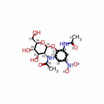 CC(=O)Nc1cc([N+](=O)[O-])ccc1O[C@@H]1O[C@H](CO)[C@@H](O)[C@H](O)[C@H]1NC(C)=O